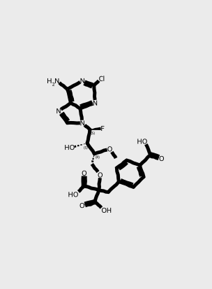 CO[C@H](COC(Cc1ccc(C(=O)O)cc1)(C(=O)O)C(=O)O)[C@H](O)[C@H](F)n1cnc2c(N)nc(Cl)nc21